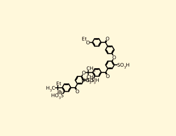 CCOc1ccc(C(=O)c2ccc(Oc3ccc(C(=O)c4ccc(C(C)(C)Oc5ccc(C(=O)c6ccc(C(C)(CC)C(C)CC)c(S(=O)(=O)O)c6)cc5S(=O)(=O)O)c(S(=O)(=O)O)c4)cc3S(=O)(=O)O)cc2)cc1